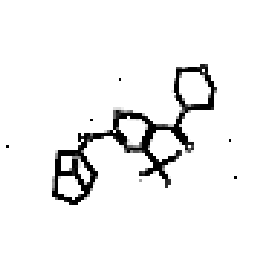 O=C(c1cnc(NC2CC3CCC(C2)N3)nc1C(F)(F)F)N1CCOCC1